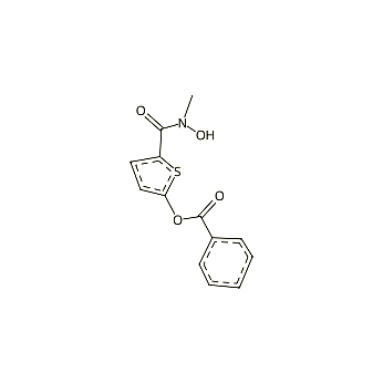 CN(O)C(=O)c1ccc(OC(=O)c2ccccc2)s1